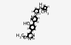 COc1cc(-c2ccc(-c3ccc(N4CC[C@@H](NC5(C)CCC5)C4)nn3)c(O)c2)ncn1